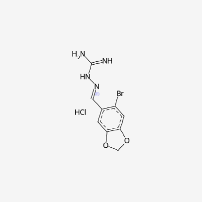 Cl.N=C(N)N/N=C/c1cc2c(cc1Br)OCO2